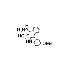 COc1ccc2[nH]c(C(=O)O)c(-c3ccccc3CNN)c2c1